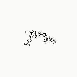 CC(C)(C)OC(=O)N(CC(F)(F)F)c1cc(-c2nc(C(=O)Nc3cn([C@H]4CC[C@H](C(=O)O)CC4)nc3C(N)=O)co2)ccn1